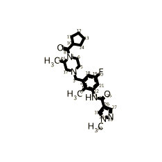 Cc1c(CN2CCN(C(=O)C3CCCC3)C(C)C2)cc(F)cc1NC(=O)c1cnn(C)c1